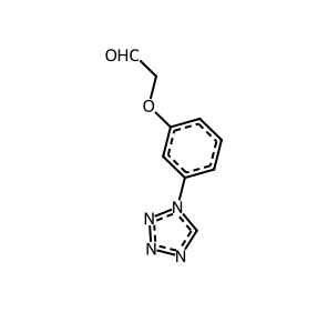 O=CCOc1cccc(-n2cnnn2)c1